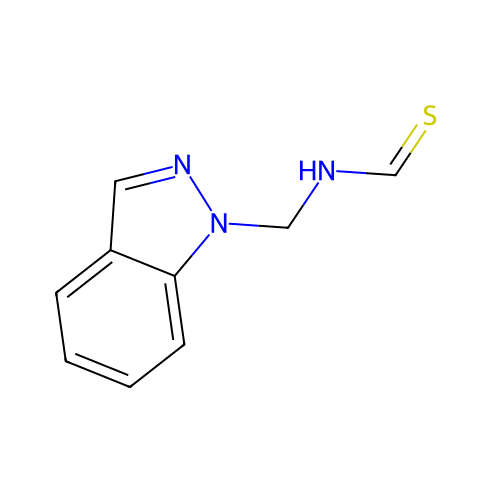 S=CNCn1ncc2ccccc21